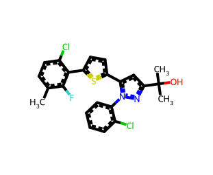 Cc1ccc(Cl)c(-c2ccc(-c3cc(C(C)(C)O)nn3-c3ccccc3Cl)s2)c1F